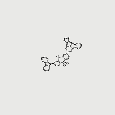 CC1(C)c2cc(-c3cc4c5ccccc5n5c6sccc6c(c3)c45)ccc2S(=O)(=O)c2ccc(-n3c4ccccc4c4ccccc43)cc21